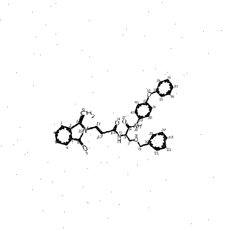 C=C1c2ccccc2C(=O)N1CCC(=O)NC(COCc1ccccc1)C(=O)Nc1ccc(Oc2ccccc2)cc1